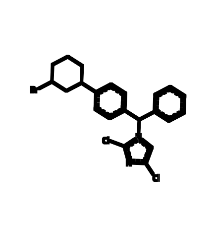 Clc1cn(C(c2ccccc2)c2ccc(C3CCCC(Br)C3)cc2)c(Cl)n1